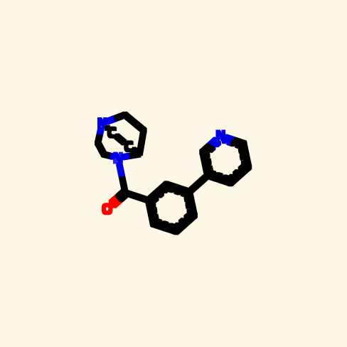 O=C(c1cccc(-c2cccnc2)c1)N1CCN2CCC1CC2